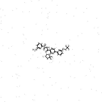 C[C@@H]1CN(c2nc(-c3cccc(OCC(C)(C)C)n3)ccc2C(=O)NS(=O)(=O)c2cccc(N)n2)C(C)(C)C1